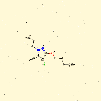 COCCCOc1nn(CCC(C)(C)C)c(C=O)c1Cl